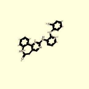 O=C1Cc2cnc(Nc3cccnc3Oc3ccccc3F)nc2-c2ccccc2N1